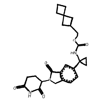 O=C1CCC(N2Cc3ccc(C4(NC(=O)OCC5CC6(CCC6)C5)CC4)cc3C2=O)C(=O)N1